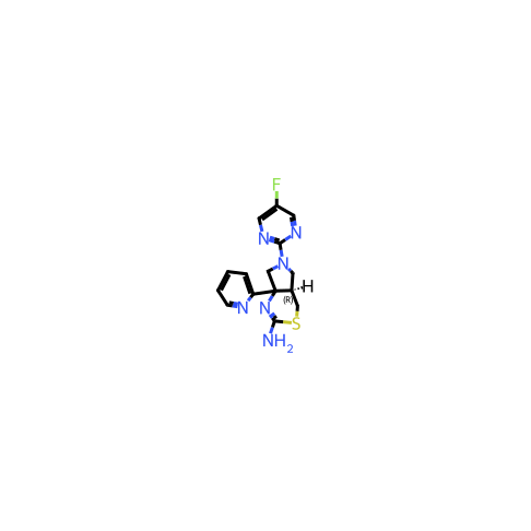 NC1=NC2(c3ccccn3)CN(c3ncc(F)cn3)C[C@H]2CS1